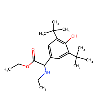 CCNC(C(=O)OCC)c1cc(C(C)(C)C)c(O)c(C(C)(C)C)c1